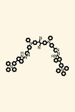 N#C/C(=C(/C#N)c1ccc(N(c2ccccc2)c2ccc(-c3ccc(/N=C4\Nc5cccc6c(-c7ccc([Si](c8ccccc8)(c8ccccc8)c8ccccc8)cc7)ccc4c56)nc3)cc2)cc1)c1ccc(N(c2ccccc2)c2ccc(-c3ccc(/N=C4\Nc5ccc(-c6ccc([Si](c7ccccc7)(c7ccccc7)c7ccccc7)cc6)c6cccc4c56)nc3)cc2)cc1